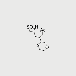 CC(=O)CC(CCCS(=O)(=O)O)C1COCCS1